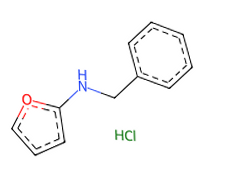 Cl.c1ccc(CNc2ccco2)cc1